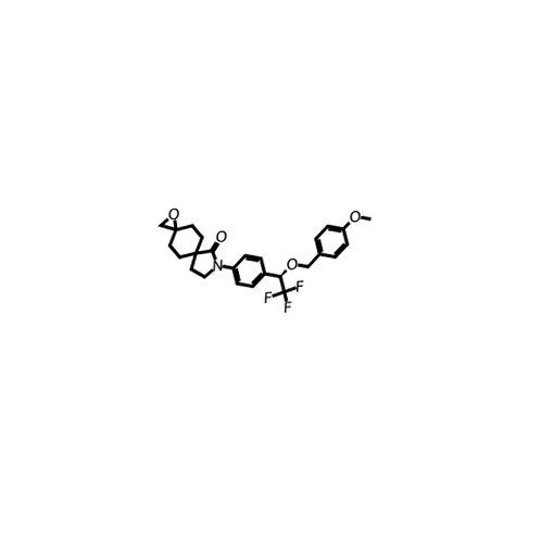 COc1ccc(CO[C@H](c2ccc(N3CCC4(CCC5(CC4)CO5)C3=O)cc2)C(F)(F)F)cc1